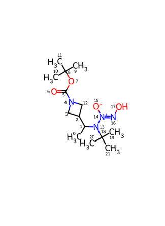 CC(C1CN(C(=O)OC(C)(C)C)C1)N([N+]([O-])=NO)C(C)(C)C